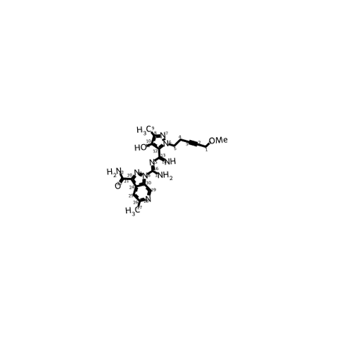 COCC#CCCn1nc(C)c(O)c1C(=N)/N=C(\N)n1nc(C(N)=O)c2cc(C)ncc21